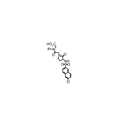 CC(C)N(CC(=O)O)C(=O)[C@H](C)N1CC[C@H](NS(=O)(=O)c2ccc3cc(Cl)ccc3c2)C1=O